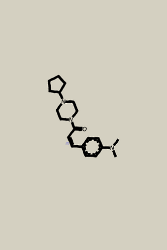 CN(C)c1ccc(/C=C\C(=O)N2CCN(C3CCCC3)CC2)cc1